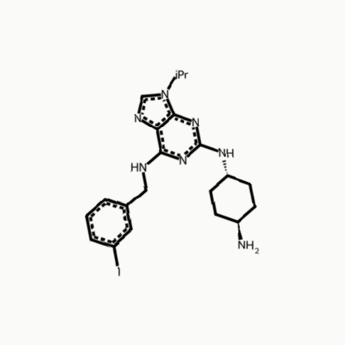 CC(C)n1cnc2c(NCc3cccc(I)c3)nc(N[C@H]3CC[C@H](N)CC3)nc21